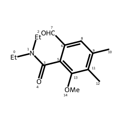 CCN(CC)C(=O)c1c(C=O)cc(C)c(C)c1OC